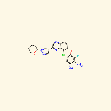 Nc1ccc(Oc2ccc3ncc(-c4cnn(C5CCCCO5)c4)nc3c2Cl)c(F)c1N